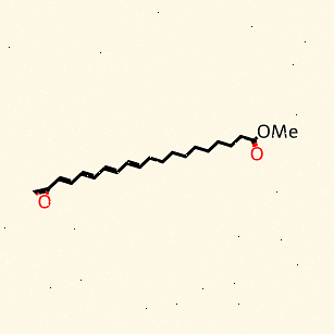 COC(=O)CCCCCCCCCC=CC=CC=CC=CC1=CO1